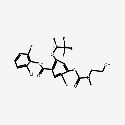 C[C@H](Oc1cc(NC(=O)N(C)CCO)c(F)cc1C(=O)Nc1c(F)cccc1Cl)C(F)(F)F